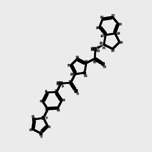 O=C(Nc1ccc(-n2cncn2)cc1)c1ccc(C(=O)N[C@H]2CCc3ccccc32)s1